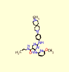 C=CCNC(=O)c1cnc(Nc2ccc(N3CCC4(CCN(C)CC4)CC3)cc2)nc1Nc1cccc(OC)n1